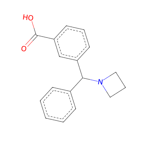 O=C(O)c1cccc(C(c2ccccc2)N2CCC2)c1